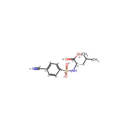 CC(C)C[C@H](NS(=O)(=O)c1ccc(C#N)cc1)C(=O)O